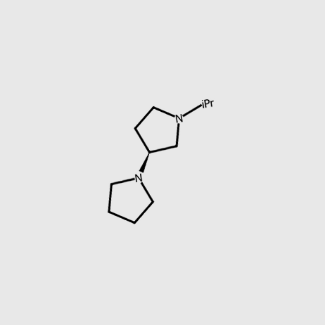 CC(C)N1CC[C@H](N2CCCC2)C1